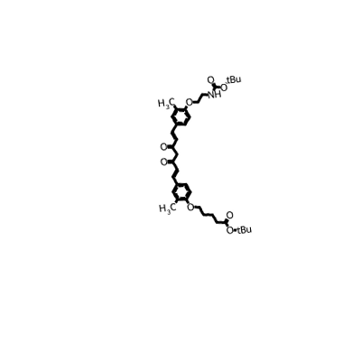 Cc1cc(/C=C/C(=O)CC(=O)/C=C/c2ccc(OCCNC(=O)OC(C)(C)C)c(C)c2)ccc1OCCCCC(=O)OC(C)(C)C